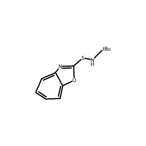 CC(C)(C)NSc1nc2ccccc2o1